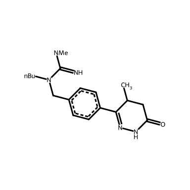 CCCCN(Cc1ccc(C2=NNC(=O)CC2C)cc1)C(=N)NC